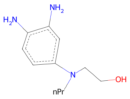 CCCN(CCO)c1ccc(N)c(N)c1